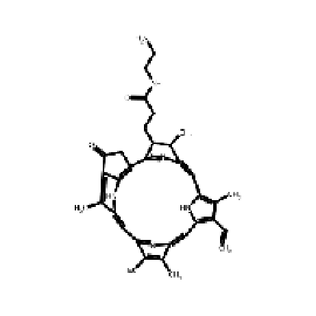 C=Cc1c(C)c2cc3nc(c4c5[nH]c(cc6nc(cc1[nH]2)C(C)=C6CC)c(C)c5C(=O)C4)C(CCC(=O)NCCN)C3C